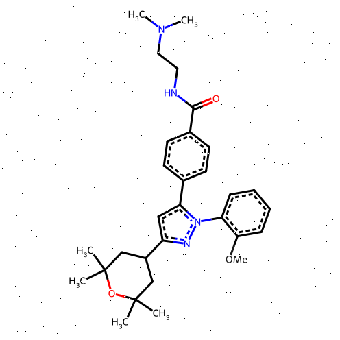 COc1ccccc1-n1nc(C2CC(C)(C)OC(C)(C)C2)cc1-c1ccc(C(=O)NCCN(C)C)cc1